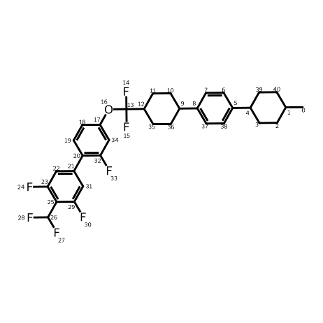 CC1CCC(c2ccc(C3CCC(C(F)(F)Oc4ccc(-c5cc(F)c(C(F)F)c(F)c5)c(F)c4)CC3)cc2)CC1